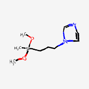 CO[Si](C)(CCCn1ccnc1)OC